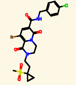 CS(=O)(=O)C1(CCN2CCn3c(c(Br)cc(C(=O)NCc4ccc(Cl)cc4)c3=O)C2=O)CC1